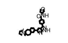 C[C@@H]1CCCN1C1(C)CCc2ccc(-c3cnc4[nH]nc(-c5ccc(C(=O)N[C@H]6CCOC6)cc5)c4c3)cc2CC1